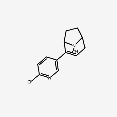 CN1C2CC=C(c3ccc(Cl)nc3)C1CC2